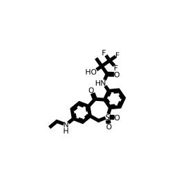 CCNc1ccc2c(c1)CS(=O)(=O)c1cccc(NC(=O)C(C)(O)C(F)(F)F)c1C2=O